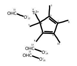 CC1=C(C)[C](C)([Ti+3])C(C)=C1C.O=C[O-].O=C[O-].O=C[O-]